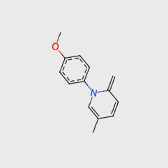 C=C1C=CC(C)=CN1c1ccc(OC)cc1